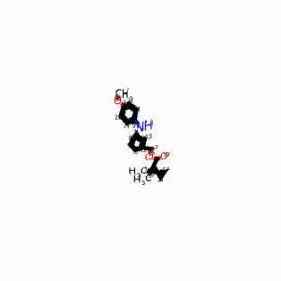 COc1ccc(Nc2cccc(COC(=O)C3C(C)(C)C34CC4)c2)cc1